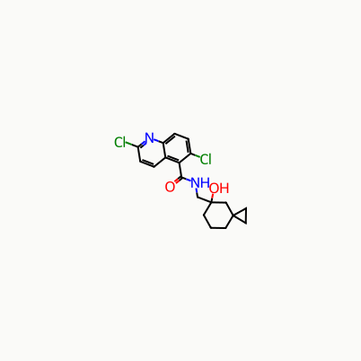 O=C(NCC1(O)CCCC2(CC2)C1)c1c(Cl)ccc2nc(Cl)ccc12